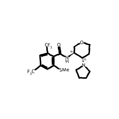 CSc1cc(C(F)(F)F)cc(C(F)(F)F)c1C(=O)N[C@H]1COCC[C@@H]1N1CCCC1